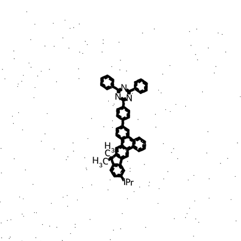 CC(C)c1ccc2c(c1)-c1cc3c4ccccc4c4cc(-c5ccc(-c6nc(-c7ccccc7)nc(-c7ccccc7)n6)cc5)ccc4c3cc1C2(C)C